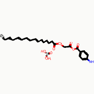 CC(C)CCCCCCCCCCCCCCC(=O)OCC(=O)OC(=O)c1ccc(N)cc1.[O]=[Ti]([OH])[OH]